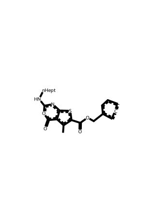 CCCCCCCNc1nc2sc(C(=O)OCc3ccccc3)c(C)c2c(=O)o1